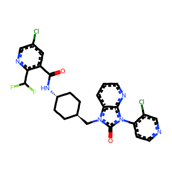 O=C(N[C@H]1CC[C@H](Cn2c(=O)n(-c3ccncc3Cl)c3ncccc32)CC1)c1cc(Cl)cnc1C(F)F